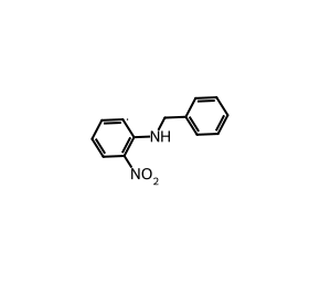 O=[N+]([O-])c1ccc[c]c1NCc1ccccc1